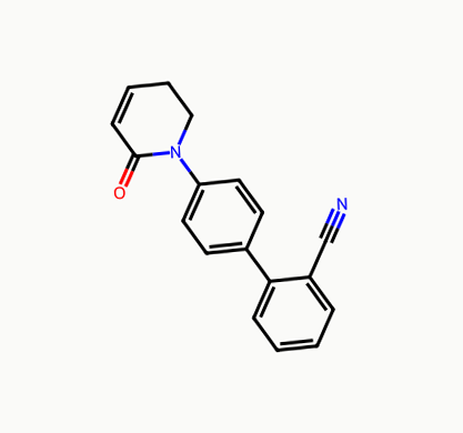 N#Cc1ccccc1-c1ccc(N2CCC=CC2=O)cc1